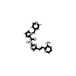 CC(C)c1cccnc1/C=C/c1csc(NC(=O)c2cccn2Cc2ccncc2)n1